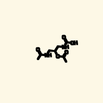 CC(=O)NC[C@@H](CNC(=O)O)OC(C)=O